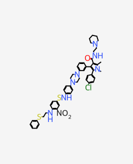 Cc1c(C(=O)NCCN2CCCCC2)c(-c2cccc(N3CCN(c4ccc(NSc5ccc(NCCSc6ccccc6)c([N+](=O)[O-])c5)cc4)CC3)c2)c(-c2ccc(Cl)cc2)n1C